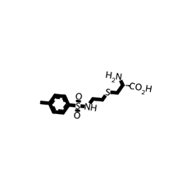 Cc1ccc(S(=O)(=O)NCCSC[C@H](N)C(=O)O)cc1